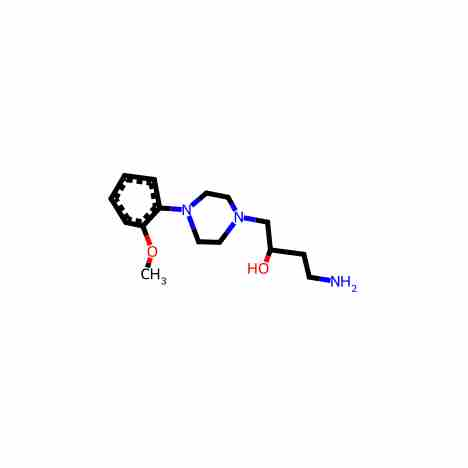 COc1ccccc1N1CCN(CC(O)CCN)CC1